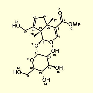 COC(=O)C1=CO[C@@H](O[C@H]2OC(CO)[C@@H](O)[C@H](O)C2O)[C@]2(C)C(CO)=CC[C@]12C